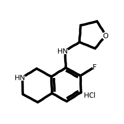 Cl.Fc1ccc2c(c1NC1CCOC1)CNCC2